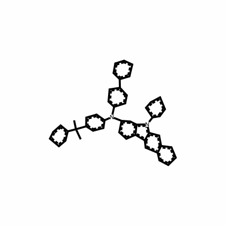 CC(C)(c1ccccc1)c1ccc(N(c2ccc(-c3ccccc3)cc2)c2ccc3c4cc5ccccc5cc4n(-c4ccccc4)c3c2)cc1